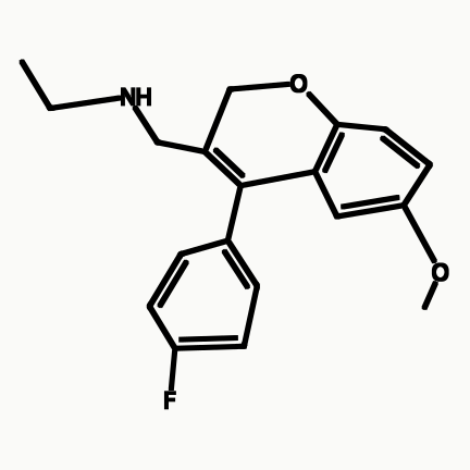 CCNCC1=C(c2ccc(F)cc2)c2cc(OC)ccc2OC1